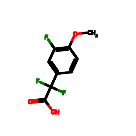 COc1ccc(C(F)(F)C(=O)O)cc1F